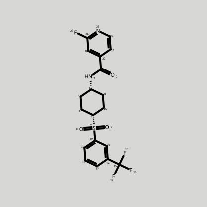 O=C(N[C@H]1CC[C@@H](S(=O)(=O)c2cccc(C(F)(F)F)c2)CC1)c1ccnc(F)c1